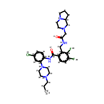 O=C(CN1CCN2CCCC2C1)NCc1c(C(=O)Nc2ccc(Cl)cc2N2CCN(CCC(F)(F)F)CC2)ccc(F)c1F